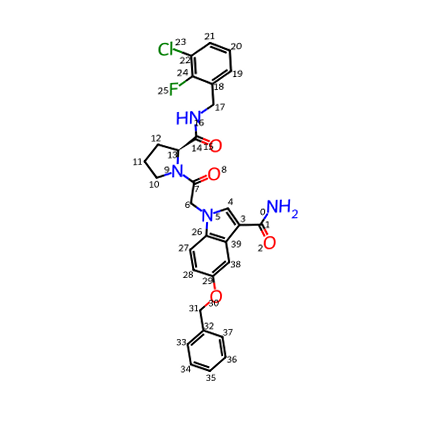 NC(=O)c1cn(CC(=O)N2CCC[C@H]2C(=O)NCc2cccc(Cl)c2F)c2ccc(OCc3ccccc3)cc12